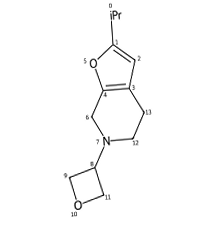 CC(C)c1cc2c(o1)CN(C1COC1)CC2